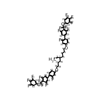 C=CC(CCCCOc1ccc(-c2cc(F)c(C(F)(F)Oc3cc(F)c(F)c(F)c3)c(F)c2)c(F)c1)CCCCOc1ccc(-c2cc(F)c(C(F)(F)Oc3cc(F)c(F)c(F)c3)c(F)c2)c(F)c1